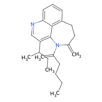 C=C(CCCC)N1C(=C)CCc2cccc3ncc(C(C)CC)c1c23